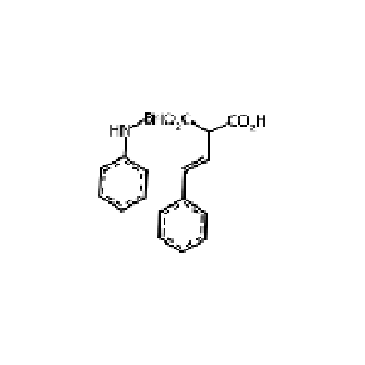 BrNc1ccccc1.O=C(O)C(C=Cc1ccccc1)C(=O)O